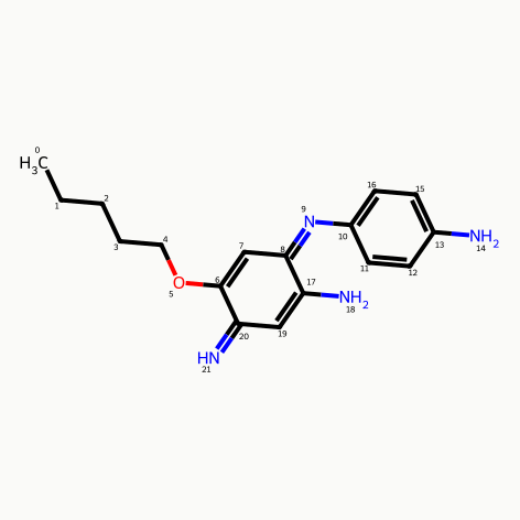 CCCCCOC1=C/C(=N/c2ccc(N)cc2)C(N)=CC1=N